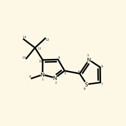 Cn1nc(-c2nccs2)cc1C(C)(C)C